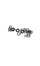 CS(=N)(=O)c1ccc(-c2ccc(-c3nc4nc(O[C@@H]5CO[C@H](CO)C5(F)F)[nH]c4cc3Cl)cc2)cc1